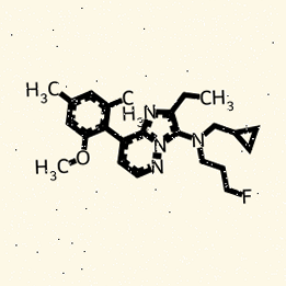 CCc1nc2c(-c3c(C)cc(C)cc3OC)ccnn2c1N(CCCF)CC1CC1